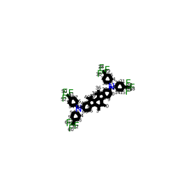 Cc1c(C)c2c(c3c1-c1ccc(N(c4ccc(C(F)(F)F)cc4)c4ccc(C(F)(F)F)cc4)cc1C3(C)C)C(C)(C)C1C=C(N(c3ccc(C(F)(F)F)cc3)c3ccc(C(F)(F)F)cc3)C=CC21